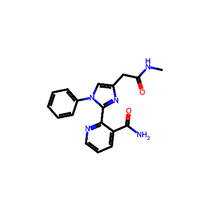 CNC(=O)Cc1cn(-c2ccccc2)c(-c2ncccc2C(N)=O)n1